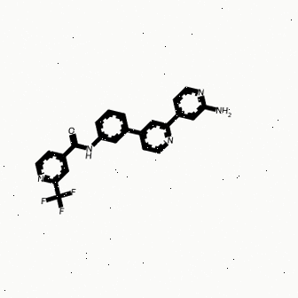 Nc1cc(-c2cc(-c3cccc(NC(=O)c4ccnc(C(F)(F)F)c4)c3)ccn2)ccn1